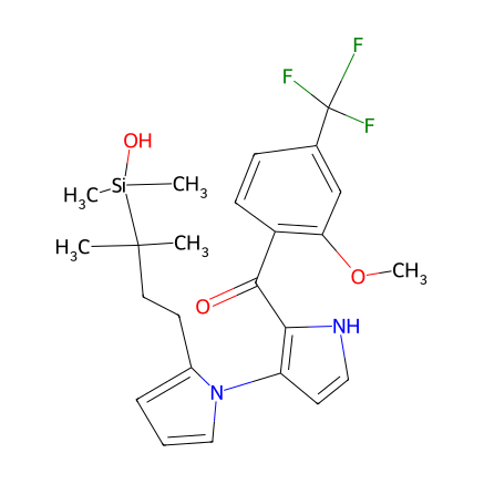 COc1cc(C(F)(F)F)ccc1C(=O)c1[nH]ccc1-n1cccc1CCC(C)(C)[Si](C)(C)O